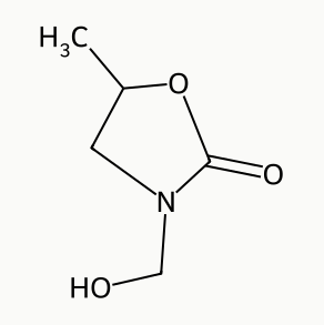 CC1CN(CO)C(=O)O1